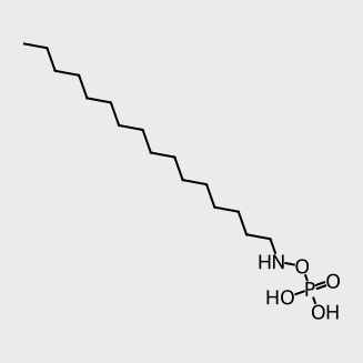 CCCCCCCCCCCCCCCCNOP(=O)(O)O